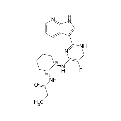 CCC(=O)N[C@@H]1CCCC[C@H]1NC1=C(F)CNC(c2c[nH]c3ncccc23)=N1